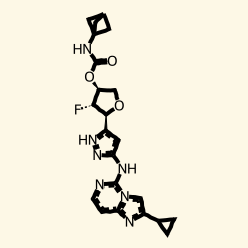 O=C(NC12CC(C1)C2)O[C@H]1CO[C@@H](c2cc(Nc3nccc4nc(C5CC5)cn34)n[nH]2)[C@@H]1F